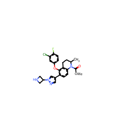 COC(=O)N1c2ccc(-c3cnn(C4CNC4)c3)c(Oc3ccc(F)c(Cl)c3)c2CCC1C